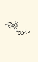 COc1ncnc2c1ccn2[C@@H]1S[C@H](COc2ccc3ccc(NCC4CC4)nc3c2)[C@H]2OC(C)(C)O[C@H]21